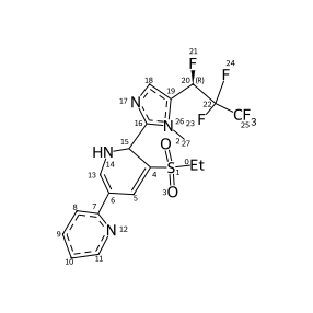 CCS(=O)(=O)C1=CC(c2ccccn2)=CNC1c1ncc([C@@H](F)C(F)(F)C(F)(F)F)n1C